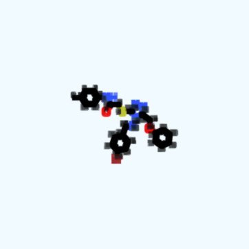 Cc1ccc(NC(=O)CSc2nnc(COc3ccccc3)n2N=Cc2ccc(Br)cc2)cc1